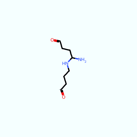 NC(CCC=O)NCCC[C]=O